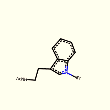 CC(=O)NCCc1cn(C(C)C)c2ccccc12